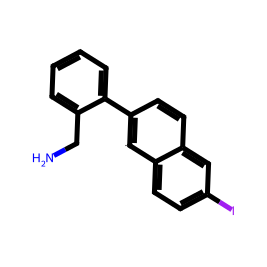 NCc1ccccc1-c1[c]c2ccc(I)cc2cc1